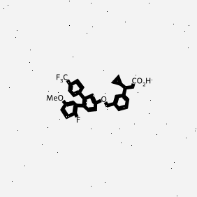 COc1ccc(F)c(-c2ccc(OCc3cccc(C(CC(=O)O)C4CC4)c3)cc2-c2ccc(C(F)(F)F)cc2)c1